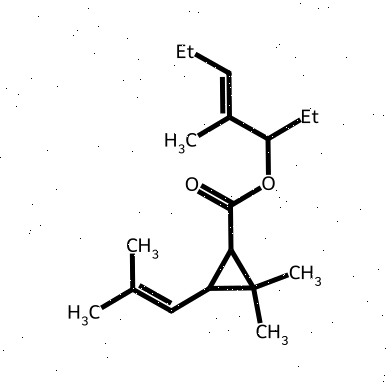 CC/C=C(\C)C(CC)OC(=O)C1C(C=C(C)C)C1(C)C